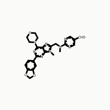 CN(Cc1nc2c(N3CCOCC3)nc(-c3ccc4c(c3)OCO4)nc2n1C)c1ncc(C=O)cn1